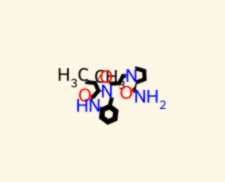 CC[C@H](C)[C@H]1C(=O)Nc2ccccc2CN1C(=O)CCN1CCC[C@H]1C(N)=O